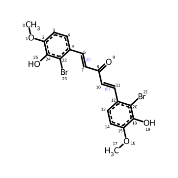 COc1ccc(/C=C/C(=O)/C=C/c2ccc(OC)c(O)c2Br)c(Br)c1O